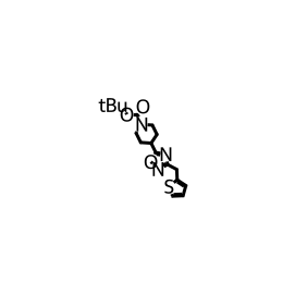 CC(C)(C)OC(=O)N1CCC(c2nc(Cc3cccs3)no2)CC1